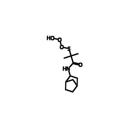 CC(C)(SOOO)C(=O)NC1CC2CCC1C2